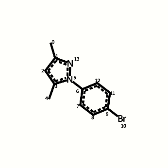 Cc1cc(C)n(-c2ccc(Br)cc2)n1